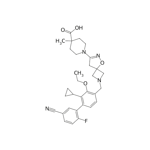 CCOc1c(CN2CC3(CC(N4CCC(C)(C(=O)O)CC4)=NO3)C2)ccc(-c2cc(C#N)ccc2F)c1C1CC1